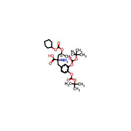 C[C@@H](CC(N)(Cc1ccc(OC(=O)OC(C)(C)C)c(OC(=O)OC(C)(C)C)c1)C(=O)O)OC(=O)OC1CCCCC1